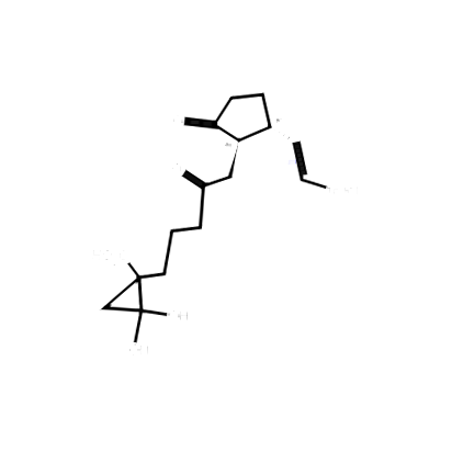 CCCCCCCC/C=C/[C@H]1CCC(=O)[C@@H]1CC(=O)CCCC1(C(=O)O)CC1(O)O